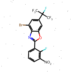 O=[N+]([O-])c1cccc(-c2nc3c(Br)cc(C(F)(C(F)(F)F)C(F)(F)F)cc3o2)c1F